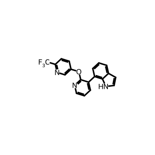 FC(F)(F)c1ccc(Oc2ncccc2-c2cccc3cc[nH]c23)cn1